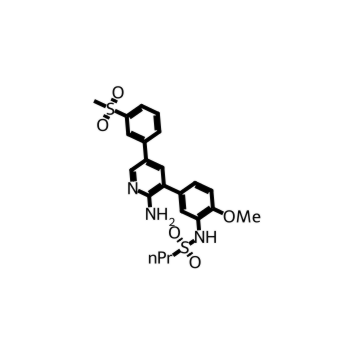 CCCS(=O)(=O)Nc1cc(-c2cc(-c3cccc(S(C)(=O)=O)c3)cnc2N)ccc1OC